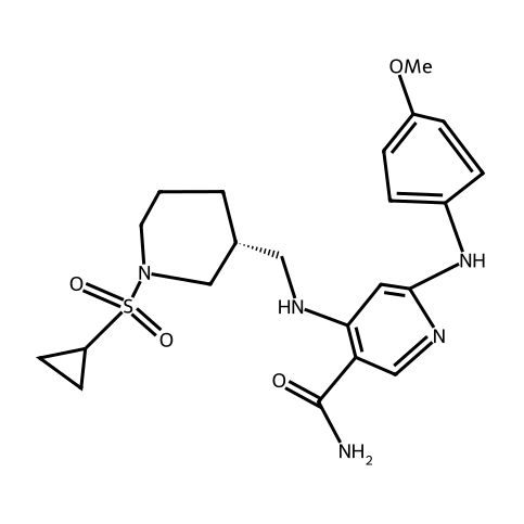 COc1ccc(Nc2cc(NC[C@H]3CCCN(S(=O)(=O)C4CC4)C3)c(C(N)=O)cn2)cc1